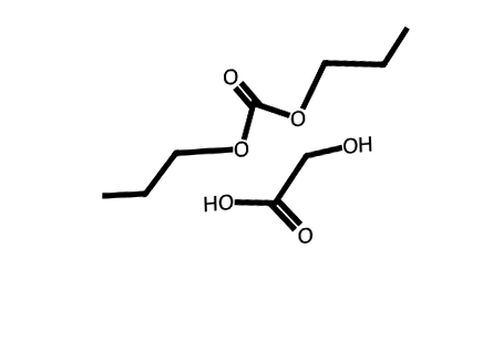 CCCOC(=O)OCCC.O=C(O)CO